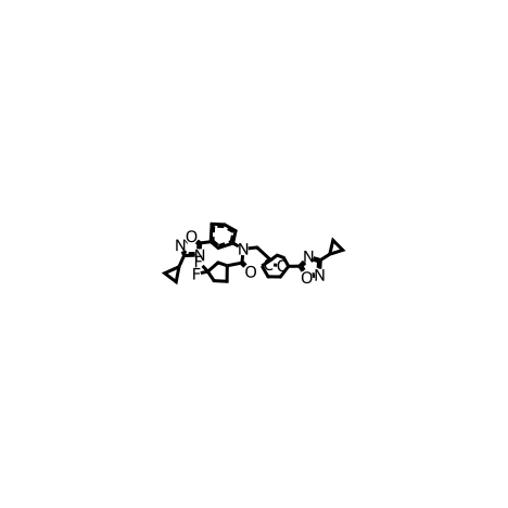 O=C(C1CCC(F)(F)C1)N(CC1CCC2(c3nc(C4CC4)no3)CCC1CC2)c1cccc(-c2nc(C3CC3)no2)c1